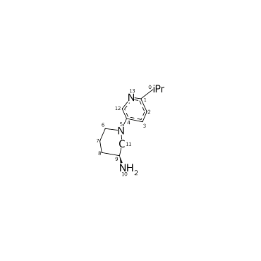 CC(C)c1ccc(N2CCC[C@H](N)C2)cn1